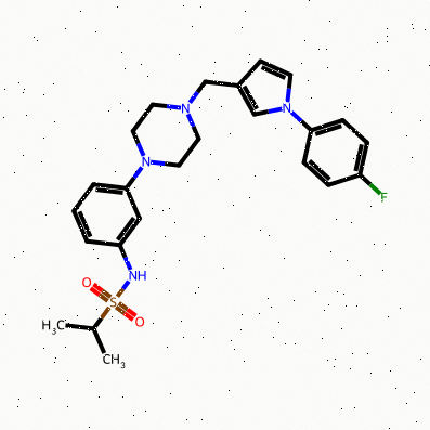 CC(C)S(=O)(=O)Nc1cccc(N2CCN(Cc3ccn(-c4ccc(F)cc4)c3)CC2)c1